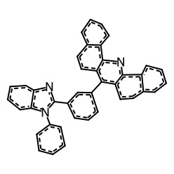 c1ccc(-n2c(-c3cccc(-c4c5ccc6ccccc6c5nc5c4ccc4ccccc45)c3)nc3ccccc32)cc1